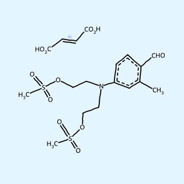 Cc1cc(N(CCOS(C)(=O)=O)CCOS(C)(=O)=O)ccc1C=O.O=C(O)/C=C/C(=O)O